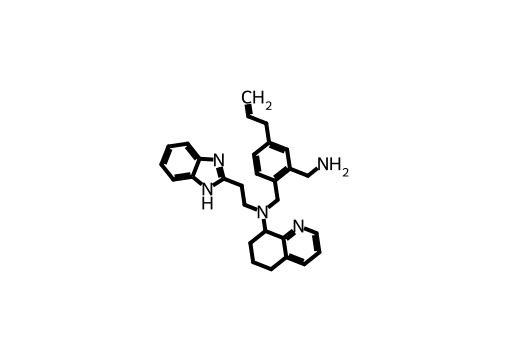 C=CCc1ccc(CN(CCc2nc3ccccc3[nH]2)C2CCCc3cccnc32)c(CN)c1